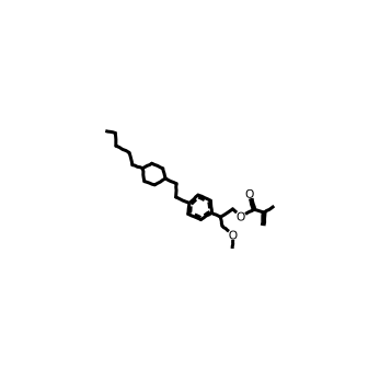 C=C(C)C(=O)OCC(COC)c1ccc(CCC2CCC(CCCCC)CC2)cc1